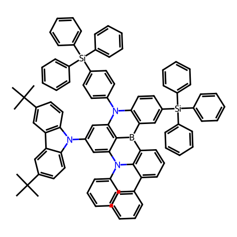 CC(C)(C)c1ccc2c(c1)c1cc(C(C)(C)C)ccc1n2-c1cc2c3c(c1)N(c1ccccc1)c1c(cccc1-c1ccccc1)B3c1cc([Si](c3ccccc3)(c3ccccc3)c3ccccc3)ccc1N2c1ccc([Si](c2ccccc2)(c2ccccc2)c2ccccc2)cc1